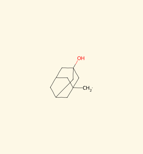 [CH2]C12CC3CC(C1)CC(O)(C3)C2